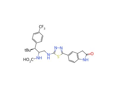 CC(C)(C)[C@@H](c1ccc(C(F)(F)F)cc1)C(CNc1nnc(-c2ccc3c(c2)CC(=O)N3)s1)NC(=O)O